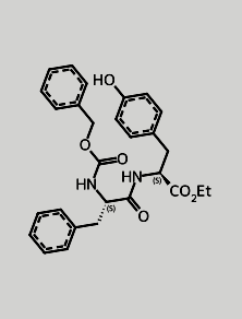 CCOC(=O)[C@H](Cc1ccc(O)cc1)NC(=O)[C@H](Cc1ccccc1)NC(=O)OCc1ccccc1